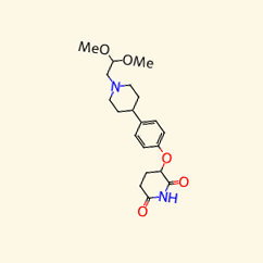 COC(CN1CCC(c2ccc(OC3CCC(=O)NC3=O)cc2)CC1)OC